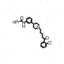 CCCC(=O)Nc1cccc(C2CCN(CCCCC(=O)c3ccccc3Cl)CC2)c1